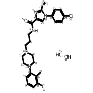 CCCc1nc(C(=O)NCCCN2CCN(c3cccc(Cl)c3C)CC2)cn1-c1ccc(Cl)cc1.Cl.Cl